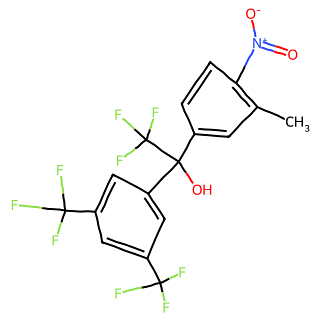 Cc1cc(C(O)(c2cc(C(F)(F)F)cc(C(F)(F)F)c2)C(F)(F)F)ccc1[N+](=O)[O-]